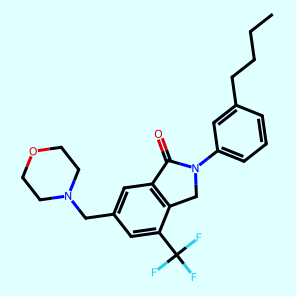 CCCCc1cccc(N2Cc3c(cc(CN4CCOCC4)cc3C(F)(F)F)C2=O)c1